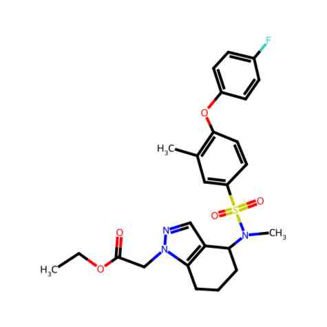 CCOC(=O)Cn1ncc2c1CCCC2N(C)S(=O)(=O)c1ccc(Oc2ccc(F)cc2)c(C)c1